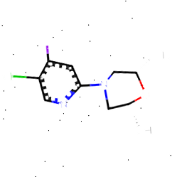 C[C@@H]1CN(c2cc(I)c(Cl)cn2)C[C@H](C)O1